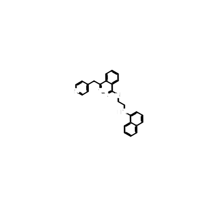 c1ccc2c(NCCNc3nnc(Cc4ccncc4)c4ccccc34)cccc2c1